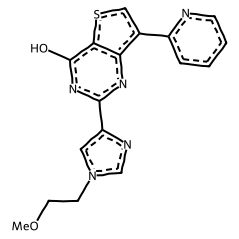 COCCn1cnc(-c2nc(O)c3scc(-c4ccccn4)c3n2)c1